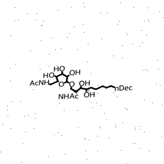 CCCCCCCCCCCCCCC[C@@H](O)C(O)[C@H](COC1OC(CNC(C)=O)C(O)C(O)C1O)NC(C)=O